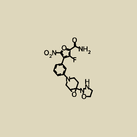 NC(=O)c1oc([N+](=O)[O-])c(-c2cccc(N3CCC4(N5NCCO5)OC4C3)c2)c1F